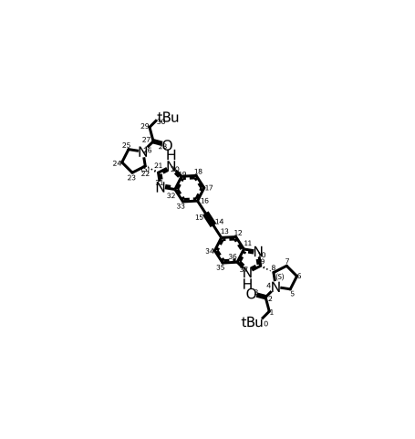 CC(C)(C)CC(=O)N1CCC[C@H]1c1nc2cc(C#Cc3ccc4[nH]c([C@@H]5CCCN5C(=O)CC(C)(C)C)nc4c3)ccc2[nH]1